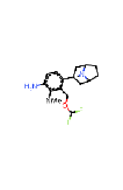 CNc1c(N)ccc(C2CC3CCC(C2)N3C)c1COC(F)F